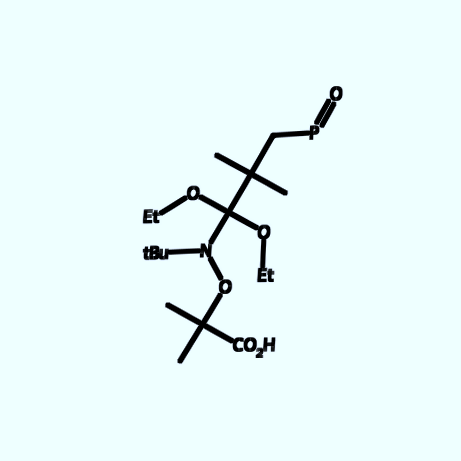 CCOC(OCC)(N(OC(C)(C)C(=O)O)C(C)(C)C)C(C)(C)CP=O